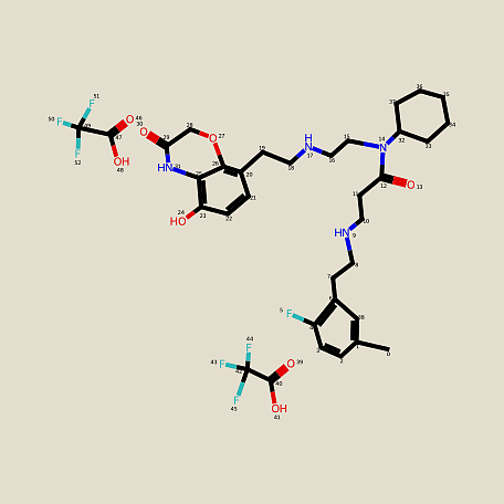 Cc1ccc(F)c(CCNCCC(=O)N(CCNCCc2ccc(O)c3c2OCC(=O)N3)C2CCCCC2)c1.O=C(O)C(F)(F)F.O=C(O)C(F)(F)F